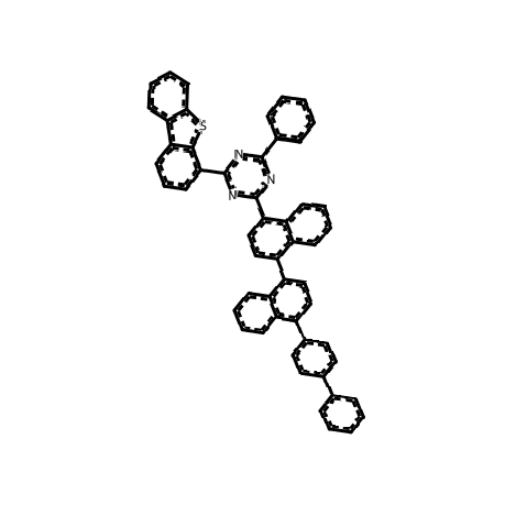 c1ccc(-c2ccc(-c3ccc(-c4ccc(-c5nc(-c6ccccc6)nc(-c6cccc7c6sc6ccccc67)n5)c5ccccc45)c4ccccc34)cc2)cc1